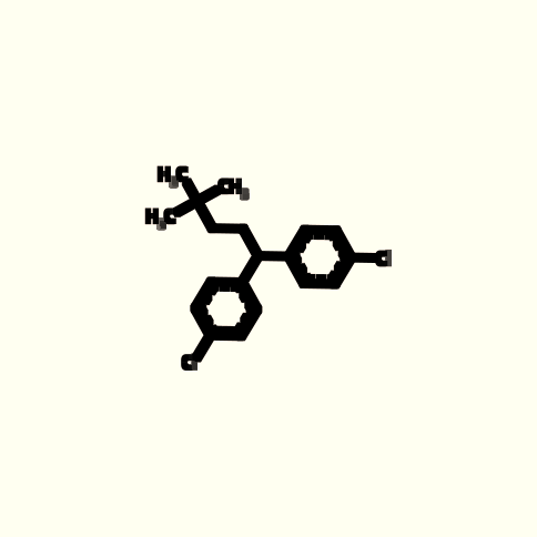 CC(C)(C)CCC(c1ccc(Cl)cc1)c1ccc(Cl)cc1